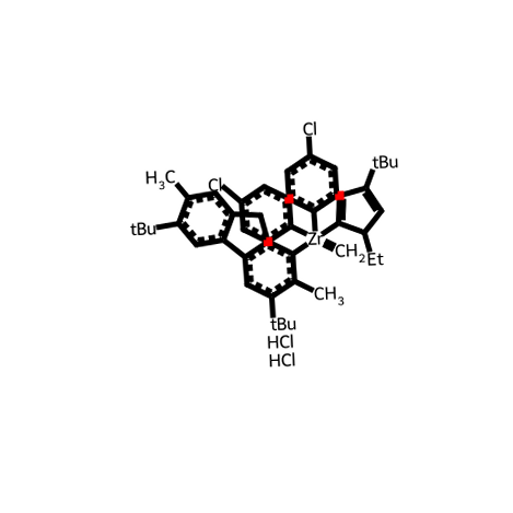 Cl.Cl.[CH2]=[Zr]([C]1=CC(C(C)(C)C)=CC1CC)([c]1ccc(Cl)cc1)([c]1ccc(Cl)cc1)[c]1c(C)c(C(C)(C)C)cc2c1Cc1cc(C)c(C(C)(C)C)cc1-2